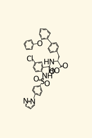 O=C(N[C@@H](Cc1ccc(-c2ccccc2Oc2ccccc2)cc1)C(=O)O)c1cc(Cl)ccc1NS(=O)(=O)c1ccc(-n2cccn2)cc1